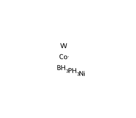 B.P.[Co].[Ni].[W]